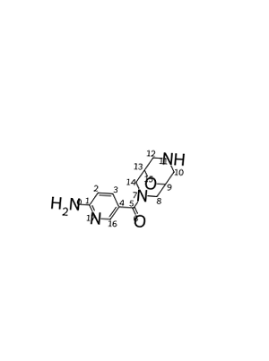 Nc1ccc(C(=O)N2CC3CNCC(C2)O3)cn1